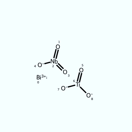 [Bi+3].[O]=[Nb](=[O])[O-].[O]=[Ti]([O-])[O-]